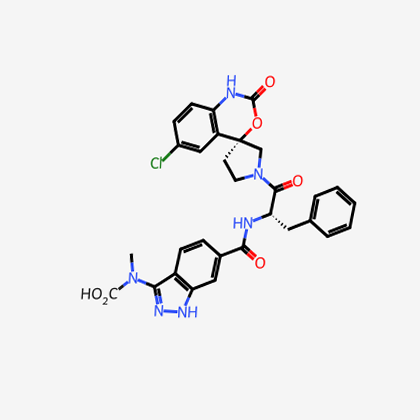 CN(C(=O)O)c1n[nH]c2cc(C(=O)N[C@@H](Cc3ccccc3)C(=O)N3CC[C@@]4(C3)OC(=O)Nc3ccc(Cl)cc34)ccc12